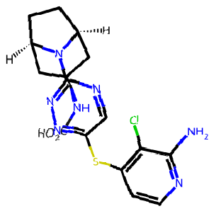 Nc1nccc(Sc2cnc(N3[C@@H]4CC[C@H]3C[C@@H](NC(=O)O)C4)nn2)c1Cl